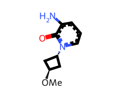 CO[C@H]1C[C@H](n2cccc(N)c2=O)C1